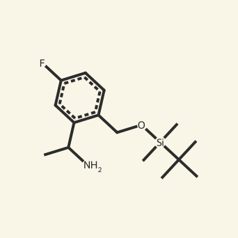 CC(N)c1cc(F)ccc1CO[Si](C)(C)C(C)(C)C